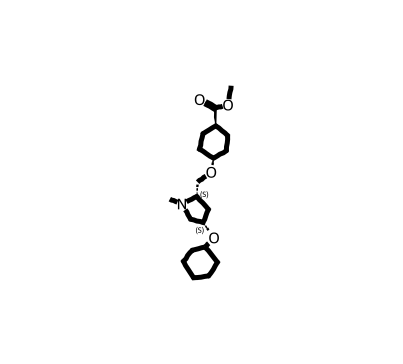 COC(=O)[C@H]1CC[C@H](OC[C@@H]2C[C@H](OC3CCCCC3)CN2C)CC1